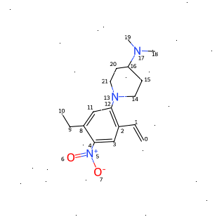 C=Cc1cc([N+](=O)[O-])c(CC)cc1N1CCC(N(C)C)CC1